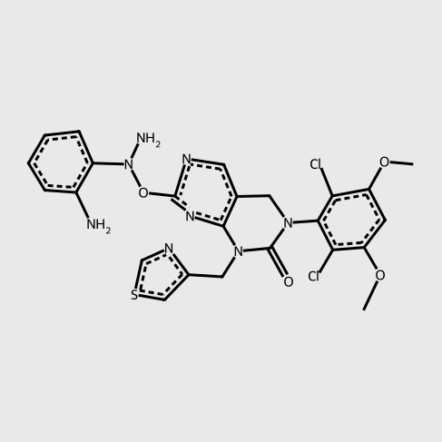 COc1cc(OC)c(Cl)c(N2Cc3cnc(ON(N)c4ccccc4N)nc3N(Cc3cscn3)C2=O)c1Cl